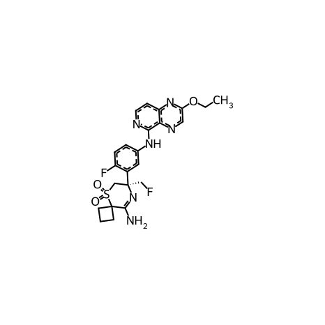 CCOc1cnc2c(Nc3ccc(F)c([C@]4(CF)CS(=O)(=O)C5(CCC5)C(N)=N4)c3)nccc2n1